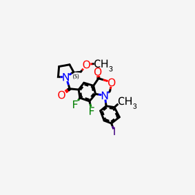 COC[C@@H]1CCCN1C(=O)c1cc2c(c(F)c1F)N(c1ccc(I)cc1C)COC2=O